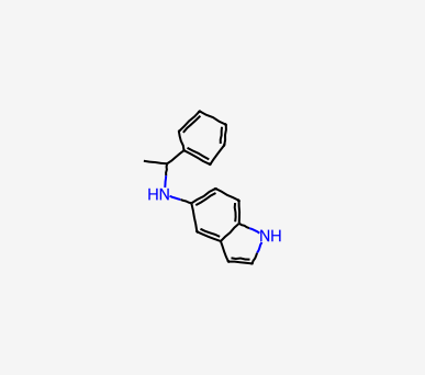 CC(Nc1ccc2[nH]ccc2c1)c1ccccc1